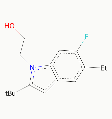 CCc1cc2cc(C(C)(C)C)n(CCO)c2cc1F